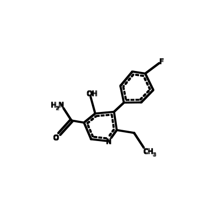 CCc1ncc(C(N)=O)c(O)c1-c1ccc(F)cc1